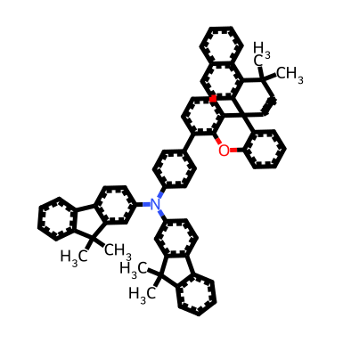 CC1(C)c2ccccc2-c2ccc(N(c3ccc(-c4cccc5c4Oc4ccccc4C54c5ccccc5C(C)(C)c5c4ccc4ccccc54)cc3)c3ccc4c(c3)C(C)(C)c3ccccc3-4)cc21